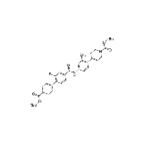 CC(C)(C)OC(=O)N1CC=C(c2ccc(C(=O)Nc3ccc(C4=CCN(C(=O)OC(C)(C)C)CC4)c(C(F)(F)F)c3)cc2F)CC1